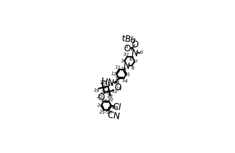 CN(C(=O)OC(C)(C)C)C1CCN(c2ccc(C(=O)N[C@H]3C(C)(C)[C@H](Oc4ccc(C#N)c(Cl)c4)C3(C)C)cc2)CC1